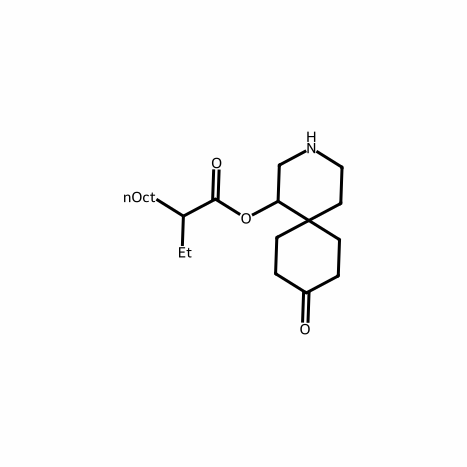 CCCCCCCCC(CC)C(=O)OC1CNCCC12CCC(=O)CC2